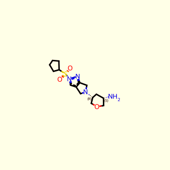 N[C@@H]1COC[C@H](N2Cc3cn(S(=O)(=O)C4CCCC4)nc3C2)C1